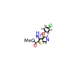 COC(=O)c1sc2cncc(Oc3ccc(Cl)cc3)c2c1N